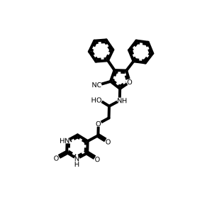 N#Cc1c(NC(O)COC(=O)c2c[nH]c(=O)[nH]c2=O)oc(-c2ccccc2)c1-c1ccccc1